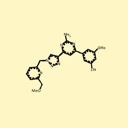 COCc1cccc(Cn2cc(-c3cc(-c4cc(C#N)cc(OC)c4)nc(N)n3)nn2)n1